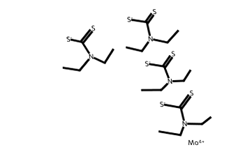 CCN(CC)C(=S)[S-].CCN(CC)C(=S)[S-].CCN(CC)C(=S)[S-].CCN(CC)C(=S)[S-].[Mo+4]